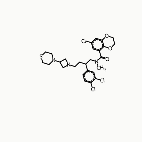 CN(CC(CCN1CC(N2CCSCC2)C1)c1ccc(Cl)c(Cl)c1)C(=O)c1cc(Cl)cc2c1OCCO2